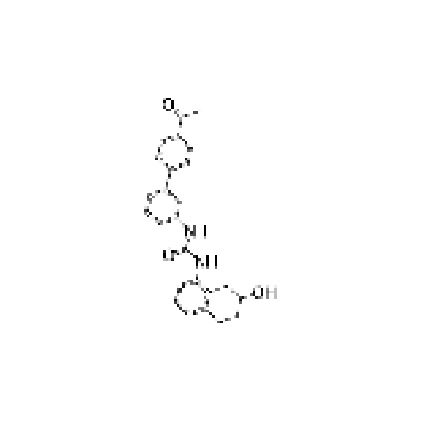 CC(=O)c1ccc(-c2cccc(NC(=O)Nc3cccc4c3CC(O)CC4)c2)cc1